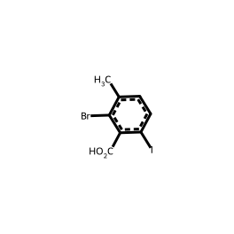 Cc1ccc(I)c(C(=O)O)c1Br